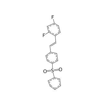 O=S(=O)(c1ccccc1)c1ccc(C=Cc2ccc(F)cc2F)cc1